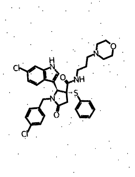 O=C1C[C@](Sc2ccccc2)(C(=O)NCCCN2CCOCC2)[C@H](c2c[nH]c3cc(Cl)ccc23)N1Cc1ccc(Cl)cc1